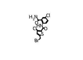 NC(=O)c1cc(Cl)ccc1NC(=O)c1sc(CBr)cc1Cl